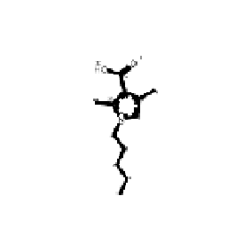 CCCCCn1cc(C)c(C(=O)O)c1C